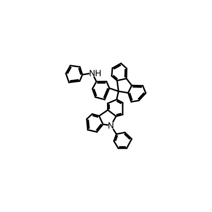 c1ccc(Nc2cccc(C3(c4ccc5c(c4)c4ccccc4n5-c4ccccc4)c4ccccc4-c4ccccc43)c2)cc1